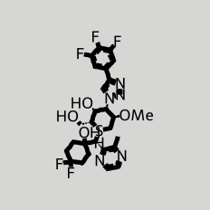 CO[C@H]1C[SH]([C@H](c2nccnc2C)C2(O)CCC(F)(F)CC2)[C@H](CO)[C@H](O)[C@@H]1n1cc(-c2cc(F)c(F)c(F)c2)nn1